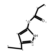 CCC(=O)Oc1cc(CC)n[nH]1